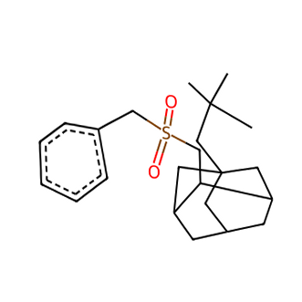 CC(C)(C)CC12CC3CC(C1)C(CS(=O)(=O)Cc1ccccc1)C(C3)C2